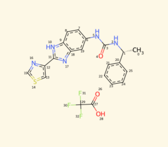 C[C@@H](NC(=O)Nc1ccc2[nH]c(-c3cscn3)nc2c1)c1ccccc1.O=C(O)C(F)(F)F